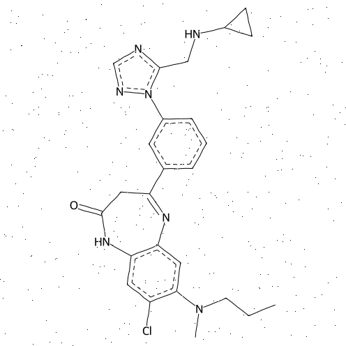 CCCN(C)c1cc2c(cc1Cl)NC(=O)CC(c1cccc(-n3ncnc3CNC3CC3)c1)=N2